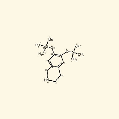 CC(C)(C)[Si](C)(C)Oc1cc2c(cc1O[Si](C)(C)C(C)(C)C)CNCC2